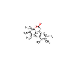 Cc1cc([C@@H]2CC(=O)Oc3c(C)c(C)c(C)c(C)c32)cc(C)c1C